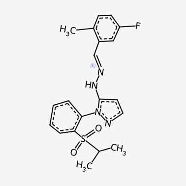 Cc1ccc(F)cc1/C=N/Nc1ccnn1-c1ccccc1S(=O)(=O)C(C)C